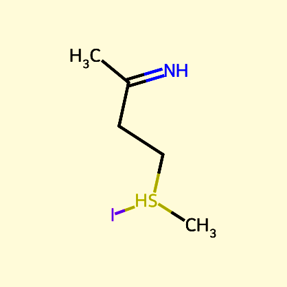 CC(=N)CC[SH](C)I